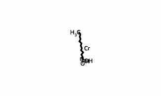 CCCCCCCCCCCCO[PH](=O)O.[Cr]